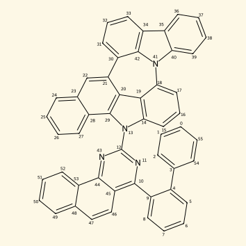 c1ccc(-c2ccccc2-c2nc(-n3c4cccc5c4c4c(cc6ccccc6c43)c3cccc4c6ccccc6n5c34)nc3c2ccc2ccccc23)cc1